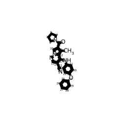 Cc1c(C(=O)N2CCCC2)cn2ncc(C#N)c(Nc3ccc(Oc4ccccc4)cc3)c12